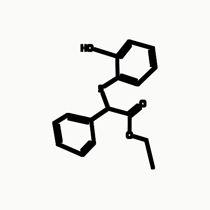 CCOC(=O)C(Sc1ccccc1O)c1ccccc1